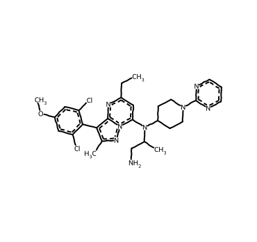 CCc1cc(N(C(C)CN)C2CCN(c3ncccn3)CC2)n2nc(C)c(-c3c(Cl)cc(OC)cc3Cl)c2n1